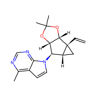 C=C[C@@]12C[C@@H]1[C@@H](n1ccc3c(C)ncnc31)[C@@H]1OC(C)(C)O[C@@H]12